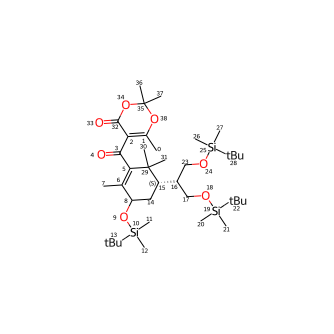 CC1=C(C(=O)C2=C(C)C(O[Si](C)(C)C(C)(C)C)C[C@@H](C(CO[Si](C)(C)C(C)(C)C)CO[Si](C)(C)C(C)(C)C)C2(C)C)C(=O)OC(C)(C)O1